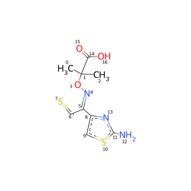 CC(C)(O/N=C(\[C]=S)c1csc(N)n1)C(=O)O